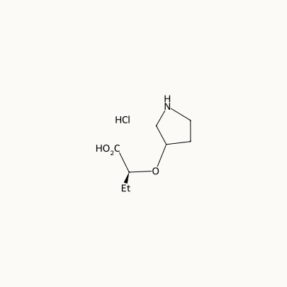 CC[C@H](OC1CCNC1)C(=O)O.Cl